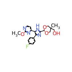 COc1nccc(-c2[nH]c(C3OCC(C)(CO)CO3)nc2-c2ccc(F)cc2)n1